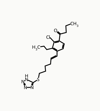 CCCC(=O)c1ccc(C=CCCCCSc2nnn[nH]2)c(CCC)c1Cl